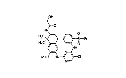 COc1cc2c(cc1Nc1ncc(Cl)c(Nc3ccccc3S(=O)(=O)C(C)C)n1)CCC(NC(=O)CO)C2(C)C